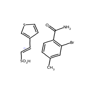 Cc1ccc(C(N)=O)c(Br)c1.O=S(=O)(O)/C=C/c1ccsc1